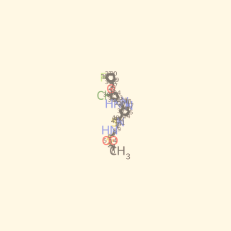 CCCS(=O)(=O)CCNCc1nc(-c2ccc3ncnc(Nc4ccc(OCc5cccc(F)c5)c(Cl)c4)c3c2)cs1